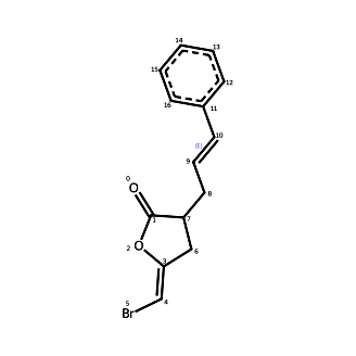 O=C1OC(=CBr)CC1C/C=C/c1ccccc1